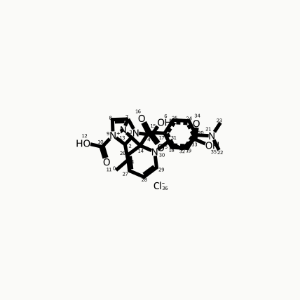 CCC1N(C(=O)O)C2=C[N+]1(C(=O)O)N2C1(C(=O)c2ccc(N(C)C)cc2)C=CC=CN1CCC(=O)O.[Cl-]